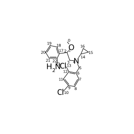 COC(CN(Cc1ccc(Cl)cc1Cl)C1CC1)c1ccccc1N